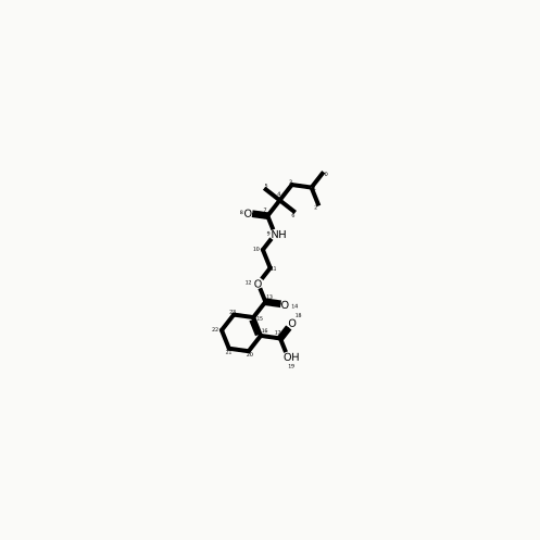 CC(C)CC(C)(C)C(=O)NCCOC(=O)C1=C(C(=O)O)CCCC1